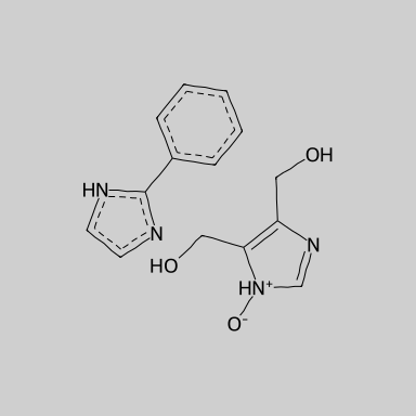 [O-][NH+]1C=NC(CO)=C1CO.c1ccc(-c2ncc[nH]2)cc1